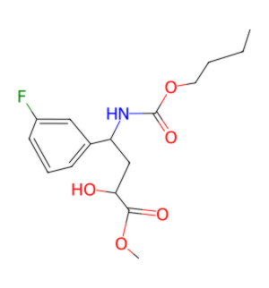 CCCCOC(=O)NC(CC(O)C(=O)OC)c1cccc(F)c1